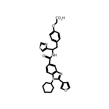 O=C(O)COc1ccc(CC(NC(=O)c2ccc3c(c2)nc(-c2ccoc2)n3C2CCCCC2)c2cscn2)cc1